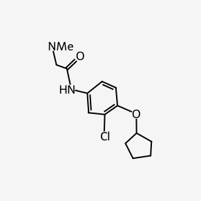 CNCC(=O)Nc1ccc(OC2CCCC2)c(Cl)c1